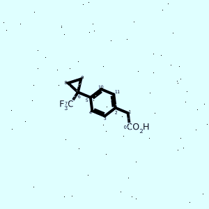 O=C(O)Cc1ccc(C2(C(F)(F)F)CC2)cc1